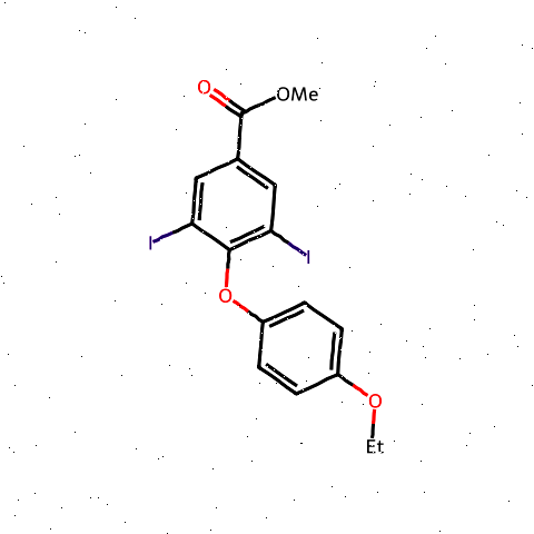 CCOc1ccc(Oc2c(I)cc(C(=O)OC)cc2I)cc1